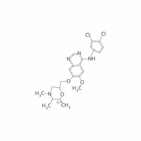 COc1cc2c(Nc3ccc(Cl)c(Cl)c3)ncnc2cc1OCC1CN(C)C(C)[C@H](C)O1